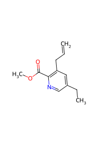 C=CCc1cc(CC)cnc1C(=O)OC